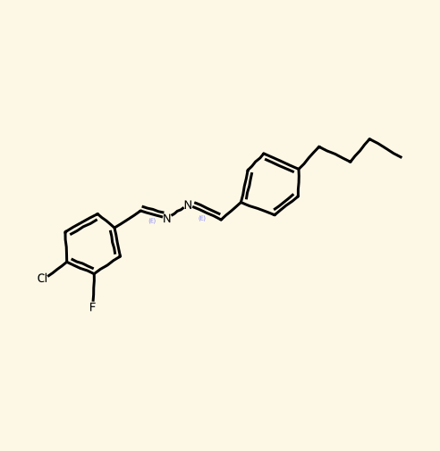 CCCCc1ccc(/C=N/N=C/c2ccc(Cl)c(F)c2)cc1